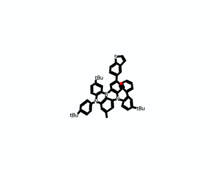 Cc1cc2c3c(c1)N(c1ccc(C(C)(C)C)cc1-c1ccccc1)c1ccc(-c4ccc5sccc5c4)cc1B3c1cc(C(C)(C)C)ccc1N2c1ccc(C(C)(C)C)cc1